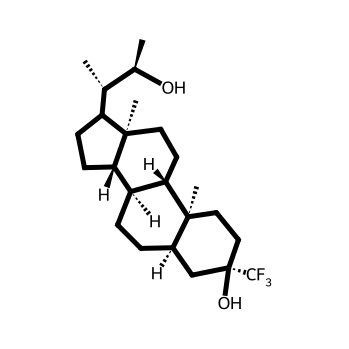 C[C@@H](O)[C@@H](C)C1CC[C@H]2[C@@H]3CC[C@@H]4C[C@@](O)(C(F)(F)F)CC[C@]4(C)[C@H]3CC[C@]12C